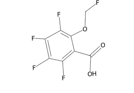 O=C(O)c1c(F)c(F)c(F)c(F)c1OCF